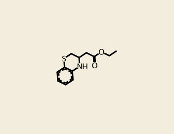 CCOC(=O)CC1CSc2ccccc2N1